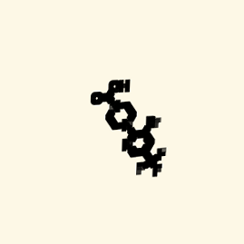 O=C(O)N1CCN(c2ncc(C(F)(F)F)cc2Br)CC1